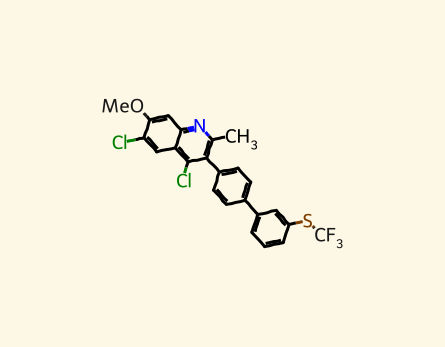 COc1cc2nc(C)c(-c3ccc(-c4cccc(SC(F)(F)F)c4)cc3)c(Cl)c2cc1Cl